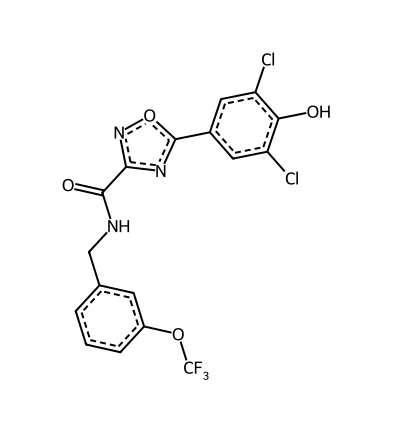 O=C(NCc1cccc(OC(F)(F)F)c1)c1noc(-c2cc(Cl)c(O)c(Cl)c2)n1